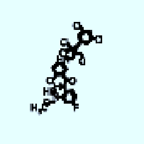 COCN(O)c1cc(F)ccc1NC(=O)c1cc(NCC2(C=O)C(c3cc(Cl)cc(Cl)c3)C2(Cl)Cl)ccc1Cl